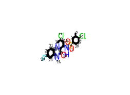 Cc1cc(S(=O)(=O)Nc2cc(Cl)cnc2C(=O)N(C)c2cccc(F)c2)ccc1Cl